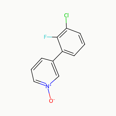 [O-][n+]1cccc(-c2cccc(Cl)c2F)c1